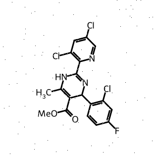 COC(=O)C1=C(C)NC(c2ncc(Cl)cc2Cl)=NC1c1ccc(F)cc1Cl